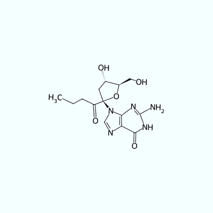 CCCC(=O)[C@]1(n2cnc3c(=O)[nH]c(N)nc32)C[C@H](O)[C@@H](CO)O1